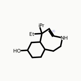 CCC1(C(C)C)/C=C/NCCC2CCC(O)CC21